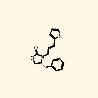 O=C1OC[C@@H](Cc2ccccc2)N1C/C=C/c1cccs1